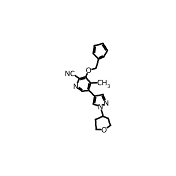 Cc1c(-c2cnn(C3CCOCC3)c2)cnc(C#N)c1OCc1ccccc1